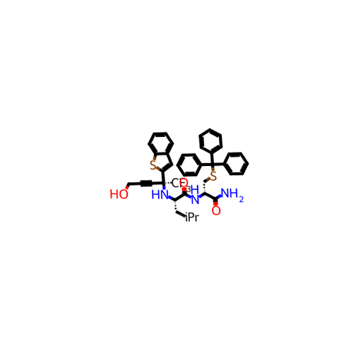 CC(C)C[C@H](N[C@@](C#CCO)(c1cc2ccccc2s1)C(F)(F)F)C(=O)N[C@H](CSC(c1ccccc1)(c1ccccc1)c1ccccc1)C(N)=O